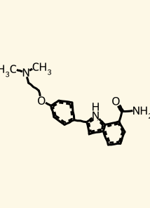 CN(C)CCOc1ccc(-c2cc3cccc(C(N)=O)c3[nH]2)cc1